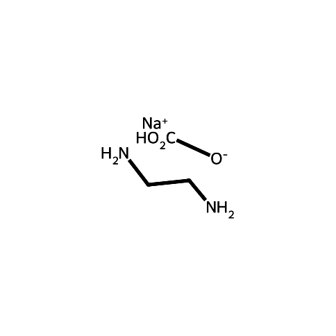 NCCN.O=C([O-])O.[Na+]